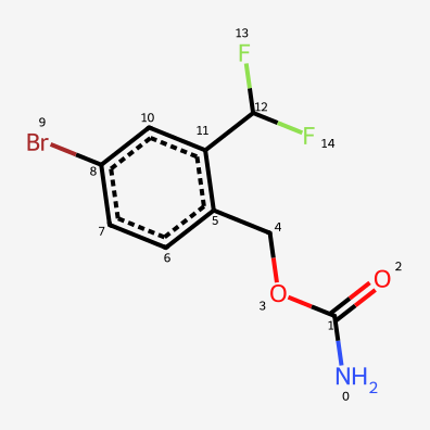 NC(=O)OCc1ccc(Br)cc1C(F)F